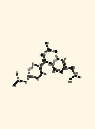 CC(=O)OC(c1ccc(CC(C)C)cc1)c1ccc(CC(C)C)cc1